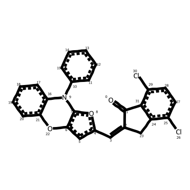 O=C1/C(=C\c2cc3c(o2)N(c2ccccc2)c2ccccc2O3)Cc2c(Cl)ccc(Cl)c21